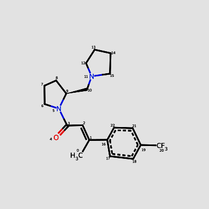 C/C(=C\C(=O)N1CCC[C@H]1CN1CCCC1)c1ccc(C(F)(F)F)cc1